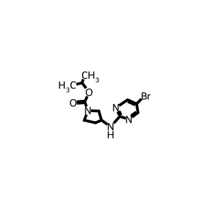 CC(C)OC(=O)N1CCC(Nc2ncc(Br)cn2)C1